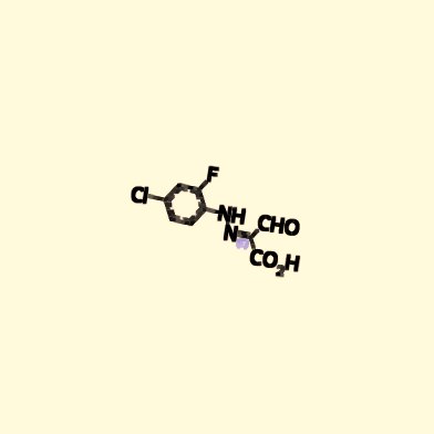 O=C/C(=N\Nc1ccc(Cl)cc1F)C(=O)O